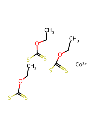 CCOC(=S)[S-].CCOC(=S)[S-].CCOC(=S)[S-].[Co+3]